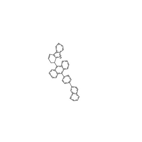 C1=Cc2c(sc3ccccc23)C(c2c3ccccc3c(-c3ccc(-c4ccc5ccccc5c4)cc3)c3ccccc23)C1